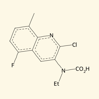 CCN(C(=O)O)c1cc2c(F)ccc(C)c2nc1Cl